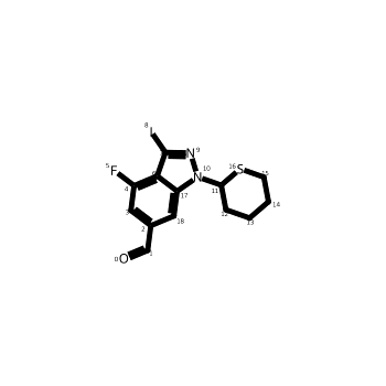 O=Cc1cc(F)c2c(I)nn(C3CCCCS3)c2c1